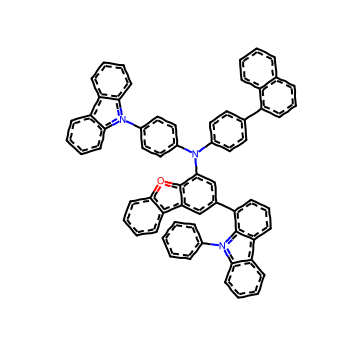 c1ccc(-n2c3ccccc3c3cccc(-c4cc(N(c5ccc(-c6cccc7ccccc67)cc5)c5ccc(-n6c7ccccc7c7ccccc76)cc5)c5oc6ccccc6c5c4)c32)cc1